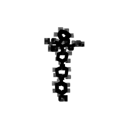 CC(C)(C)OC(=O)C(N1CCC(N2CCN(c3ccc(C#N)cc3)CC2)CC1)C(C)(O)c1ccccc1